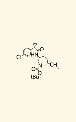 CC1CCC(NC(=O)C2(c3ccc(Cl)cc3)CC2)CN(C(=O)OC(C)(C)C)C1